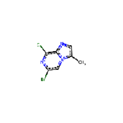 Cc1cnc2c(Cl)nc(Br)cn12